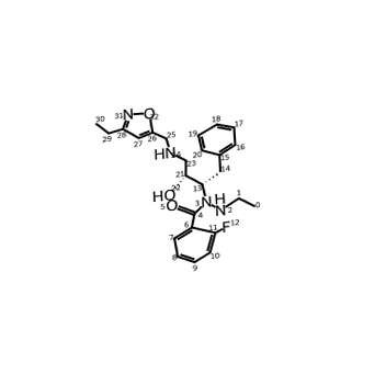 CCNN(C(=O)c1ccccc1F)[C@@H](Cc1ccccc1)[C@H](O)CNCc1cc(CC)no1